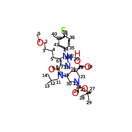 COCCCCc1c(C(=O)N(CC(C)C)[C@H]2C[C@@H](C(=O)O)CN(C(=O)OC(C)(C)C)C2)nnn1-c1ccc(F)c(C)c1